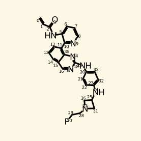 C=CC(=O)Nc1cccnc1-c1cccc2cnc(Nc3ccc(NC4CN(CCF)C4)cc3)nc12